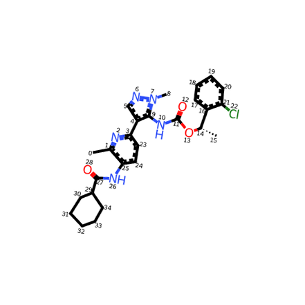 Cc1nc(-c2cnn(C)c2NC(=O)O[C@@H](C)c2ccccc2Cl)ccc1NC(=O)C1CCCCC1